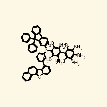 Bc1c(B)c(B)c(-c2c(B)c(B)c(N(c3cccc(-c4cccc5oc6c7ccccc7ccc6c45)c3)c3ccc4c(c3)C(c3ccccc3)(c3ccccc3)c3ccccc3-4)c(B)c2B)c(B)c1B